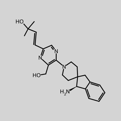 CC(C)(O)C=Cc1cnc(N2CCC3(CC2)Cc2ccccc2[C@H]3N)c(CO)n1